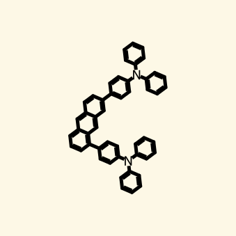 c1ccc(N(c2ccccc2)c2ccc(-c3ccc4cc5cccc(-c6ccc(N(c7ccccc7)c7ccccc7)cc6)c5cc4c3)cc2)cc1